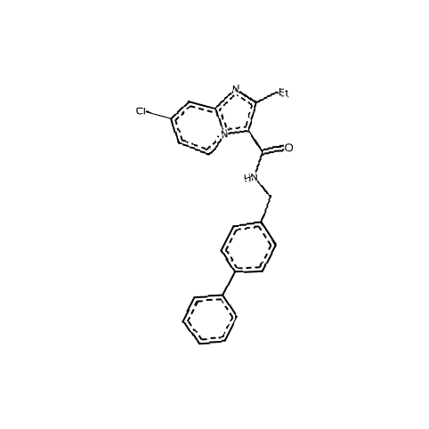 CCc1nc2cc(Cl)ccn2c1C(=O)NCc1ccc(-c2ccccc2)cc1